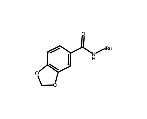 CCC(C)NC(=O)c1ccc2c(c1)OCO2